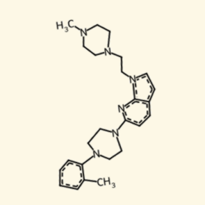 Cc1ccccc1N1CCN(c2ccc3ccn(CCN4CCN(C)CC4)c3n2)CC1